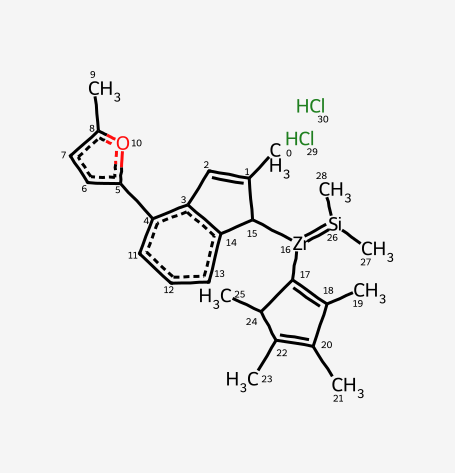 CC1=Cc2c(-c3ccc(C)o3)cccc2[CH]1[Zr]([C]1=C(C)C(C)=C(C)C1C)=[Si](C)C.Cl.Cl